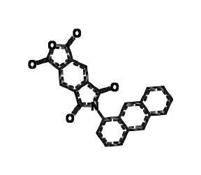 O=c1oc(=O)c2cc3c(=O)n(-c4cccc5cc6ccccc6cc45)c(=O)c3cc12